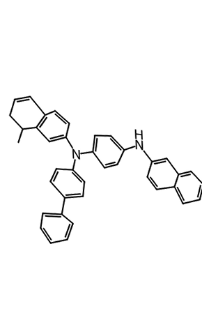 CC1CC=Cc2ccc(N(c3ccc(Nc4ccc5ccccc5c4)cc3)c3ccc(-c4ccccc4)cc3)cc21